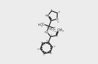 C=CC(OC(C)(C)C1=NCCO1)c1ccccc1